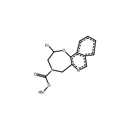 CCC1CN(C(=O)OC(C)(C)C)Cc2ncc3ccccc3c2O1